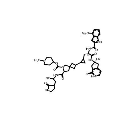 COc1cccc2[nH]c(C(=O)N[C@@H](CC3CC3C3CC4(C3)CC(C(=O)NC(C#N)CC3CCNC3=O)N(C(=O)OC3CCN(C)CC3)C4)C(=O)N[C@@]3(C#N)Cc4cc[nH]c(=O)c4C3)cc12